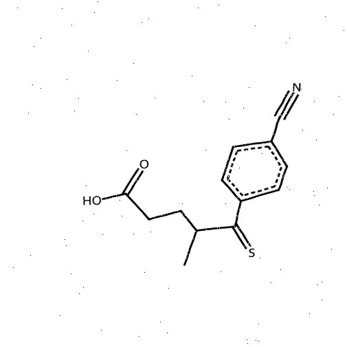 CC(CCC(=O)O)C(=S)c1ccc(C#N)cc1